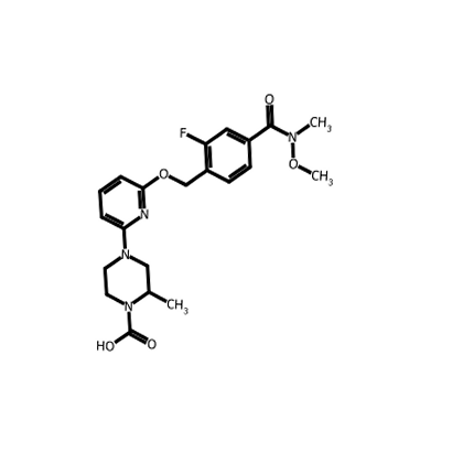 CON(C)C(=O)c1ccc(COc2cccc(N3CCN(C(=O)O)C(C)C3)n2)c(F)c1